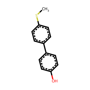 CSc1ccc(-c2ccc(O)cc2)cc1